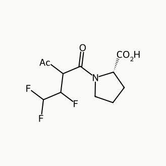 CC(=O)C(C(=O)N1CCC[C@H]1C(=O)O)C(F)C(F)F